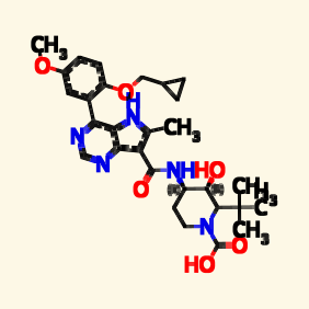 COc1ccc(OCC2CC2)c(-c2ncnc3c(C(=O)N[C@@H]4CCN(C(=O)O)C(C(C)(C)C)[C@@H]4O)c(C)[nH]c23)c1